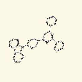 c1ccc(-c2cc(-c3ccc(-n4c5ccccc5c5ccccc54)cc3)nc(-c3ccccc3)n2)cc1